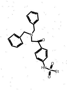 CCS(=O)(=O)Nc1ccc(C(=O)CN(Cc2ccccc2)Cc2ccccc2)cc1